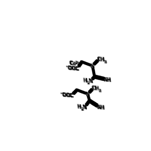 CN(CC(=O)[O-])C(=N)N.CN(CC(=O)[O-])C(=N)N.[Ca+2]